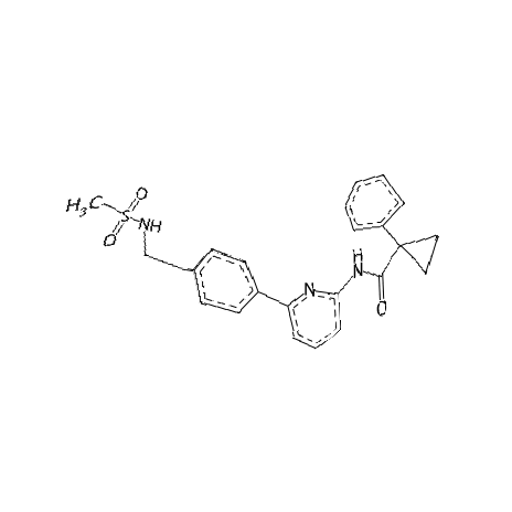 CS(=O)(=O)NCc1ccc(-c2cccc(NC(=O)C3(c4ccccc4)CC3)n2)cc1